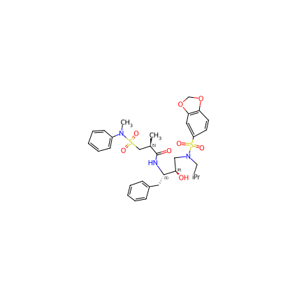 CC(C)CN(C[C@@H](O)[C@H](Cc1ccccc1)NC(=O)[C@H](C)CS(=O)(=O)N(C)c1ccccc1)S(=O)(=O)c1ccc2c(c1)OCO2